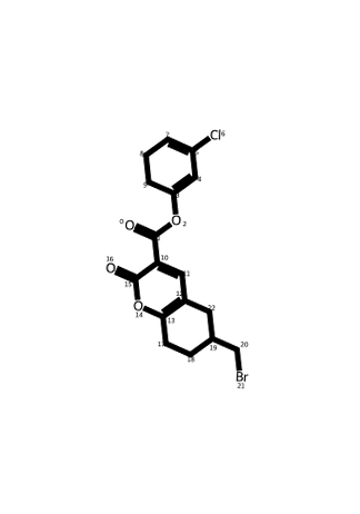 O=C(OC1=CC(Cl)=CCC1)c1cc2c(oc1=O)CCC(CBr)C2